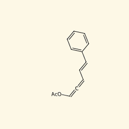 CC(=O)OC=C=C/C=C/c1ccccc1